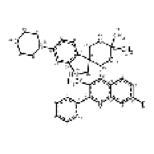 Cc1c(-c2ccccn2)nc2cc(F)ccc2c1[C@H]1OC(C)(C)OCC12CNc1cc(N3CCOCC3)ccc12